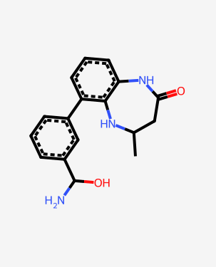 CC1CC(=O)Nc2cccc(-c3cccc(C(N)O)c3)c2N1